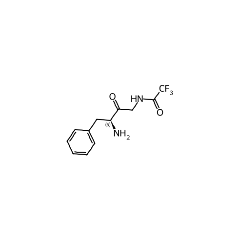 N[C@@H](Cc1ccccc1)C(=O)CNC(=O)C(F)(F)F